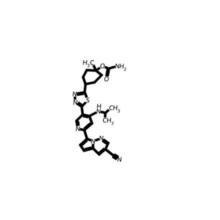 CC(C)Nc1cc(-c2ccc3cc(C#N)cnn23)ncc1-c1nnc(C2CCC(C)(OC(N)=O)CC2)s1